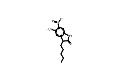 CCCCCC1C(=O)Nc2cc([N+](=O)[O-])c(N)cc21